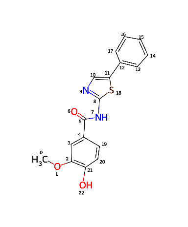 COc1cc(C(=O)Nc2ncc(-c3ccccc3)s2)ccc1O